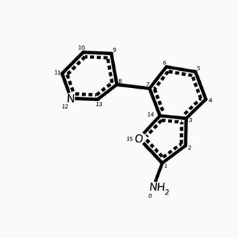 Nc1cc2cccc(-c3cccnc3)c2o1